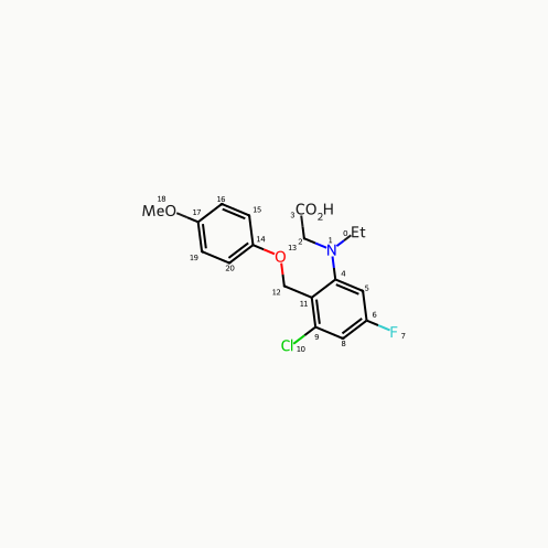 CCN(CC(=O)O)c1cc(F)cc(Cl)c1COc1ccc(OC)cc1